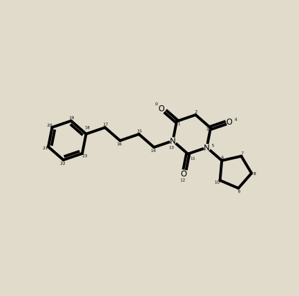 O=C1CC(=O)N(C2CCCC2)C(=O)N1CCCCc1ccccc1